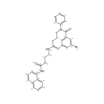 O=C(CCCN(C(=O)c1cncc(Br)c1)c1ccccc1)NCCOC(=O)Nc1cccc2ccccc12